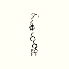 CCCCC[Si@H]1CC[C@H](CCC2CCC(c3ccc(OC(F)(F)F)cc3)CC2)CC1